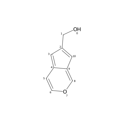 OCc1[c]c2ccocc-2c1